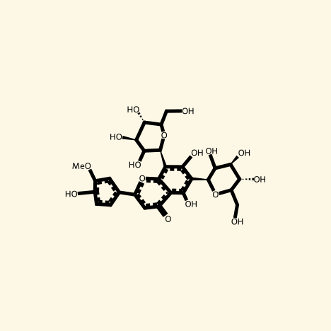 COc1cc(-c2cc(=O)c3c(O)c([C@@H]4OC(CO)[C@@H](O)[C@H](O)C4O)c(O)c([C@@H]4OC(CO)[C@@H](O)[C@H](O)C4O)c3o2)ccc1O